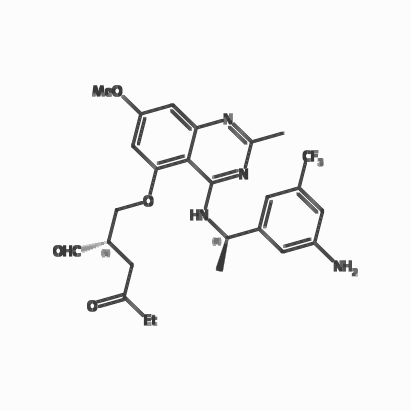 CCC(=O)C[C@H](C=O)COc1cc(OC)cc2nc(C)nc(N[C@H](C)c3cc(N)cc(C(F)(F)F)c3)c12